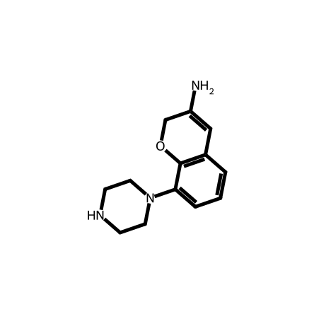 NC1=Cc2cccc(N3CCNCC3)c2OC1